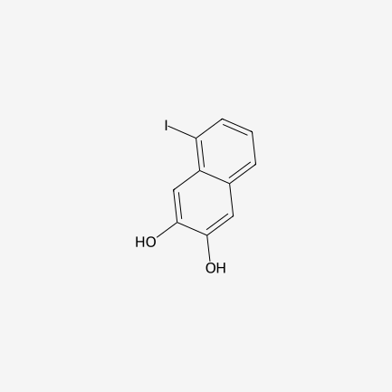 Oc1cc2cccc(I)c2cc1O